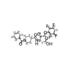 O=C(O)C[C@H](NC(=O)C1CCN(C(=O)c2ccccc2)CC1)C(=O)COc1c(F)c(F)cc(F)c1F